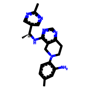 Cc1ccc(N2CCc3ncnc(N[C@H](C)c4cnc(C)nc4)c3C2)c(N)c1